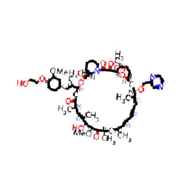 CO[C@@H]1C[C@H](C[C@@H](C)[C@@H]2CC(=O)[C@H](C)/C=C(\C)[C@@H](O)[C@@H](OC)C(=O)[C@H](C)C[C@H](C)/C=C/C=C/C=C(\C)[C@@H](OCc3cnccn3)C[C@@H]3CC[C@@H](C)[C@@](O)(O3)C(=O)C(=O)N3CCCC[C@H]3C(=O)O2)CC[C@H]1OCCO